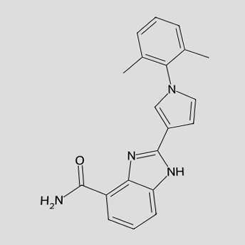 Cc1cccc(C)c1-n1ccc(-c2nc3c(C(N)=O)cccc3[nH]2)c1